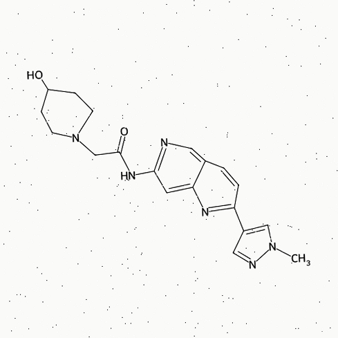 Cn1cc(-c2ccc3cnc(NC(=O)CN4CCC(O)CC4)cc3n2)cn1